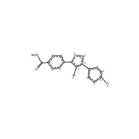 COC(=O)c1ccc(-c2onc(-c3ccc(Cl)cc3)c2Br)cc1